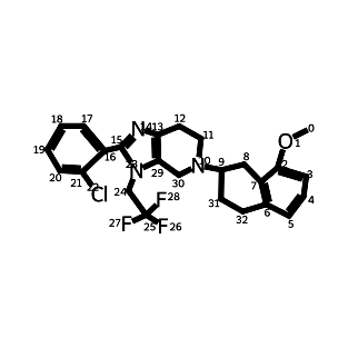 COc1cccc2c1CC(N1CCc3nc(-c4ccccc4Cl)n(CC(F)(F)F)c3C1)CC2